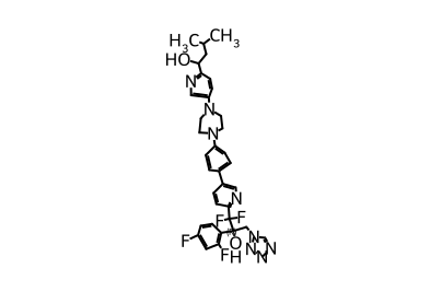 CC(C)CC(O)c1ccc(N2CCN(c3ccc(-c4ccc(C(F)(F)[C@](O)(Cn5cnnn5)c5ccc(F)cc5F)nc4)cc3)CC2)cn1